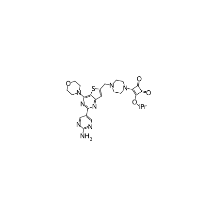 CC(C)Oc1c(N2CCN(Cc3cc4nc(-c5cnc(N)nc5)nc(N5CCOCC5)c4s3)CC2)c(=O)c1=O